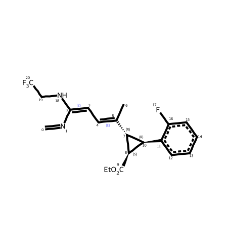 C=N/C(=C\C=C(/C)[C@H]1[C@H](C(=O)OCC)[C@@H]1c1ccccc1F)NCC(F)(F)F